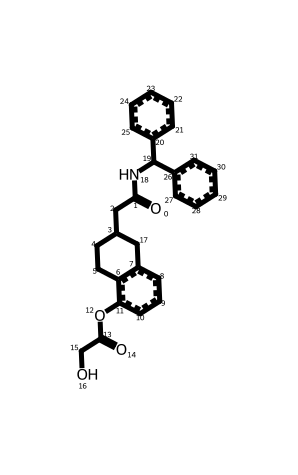 O=C(CC1CCc2c(cccc2OC(=O)CO)C1)NC(c1ccccc1)c1ccccc1